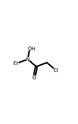 CCN(O)C(=O)CCl